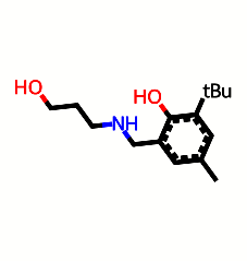 Cc1cc(CNCCCO)c(O)c(C(C)(C)C)c1